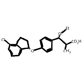 CCO[C@H](c1ccc(O[C@H]2CCc3c(Cl)cccc32)cc1)C(C)C(=O)O